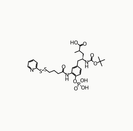 CC(C[C@H](Cc1ccc(OP(=O)(O)O)c(NC(=O)CCCSSc2ccccn2)c1)NC(=O)OC(C)(C)C)C(=O)O